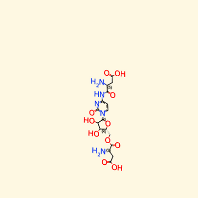 N[C@@H](CC(=O)O)C(=O)Nc1ccn([C@@H]2O[C@H](COC(=O)[C@@H](N)CC(=O)O)C(O)C2O)c(=O)n1